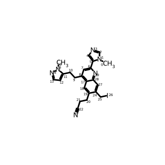 Cn1cncc1-c1cc(CCc2ccnn2C)c2cc(CCC#N)c(CI)cc2n1